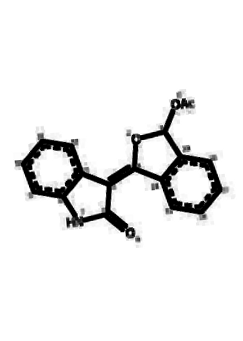 CC(=O)OC1OC(=C2C(=O)Nc3ccccc32)c2ccccc21